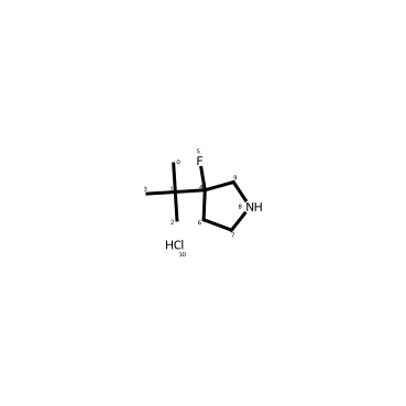 CC(C)(C)C1(F)CCNC1.Cl